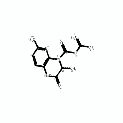 C=C(C)OC(=O)N1c2nc(C)ccc2NC(=O)C1C